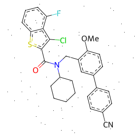 COc1ccc(-c2ccc(C#N)cc2)cc1CN(C(=O)c1sc2cccc(F)c2c1Cl)C1CCCCC1